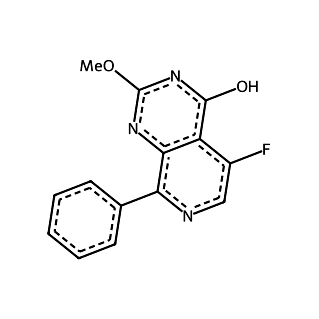 COc1nc(O)c2c(F)cnc(-c3ccccc3)c2n1